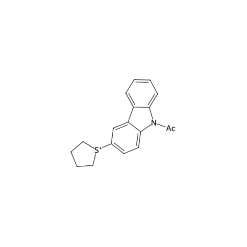 CC(=O)n1c2ccccc2c2cc([S+]3CCCC3)ccc21